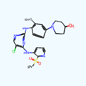 COc1cc(N2CCC(O)CC2)ccc1Nc1ncc(Cl)c(Nc2cccnc2S(=O)(=O)C(C)C)n1